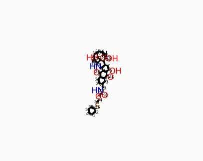 C[C@@H](O)[C@@]12O[C@]13c1cc(O)c4c(c1N[C@H]2C#C/C=C\C#C[C@H]3O)C(=O)c1ccc(CNC(=O)OCCSc2ccccc2)cc1C4=O